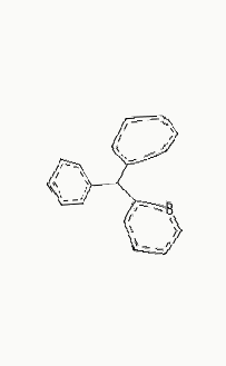 b1ccccc1C(c1ccccc1)c1ccccc1